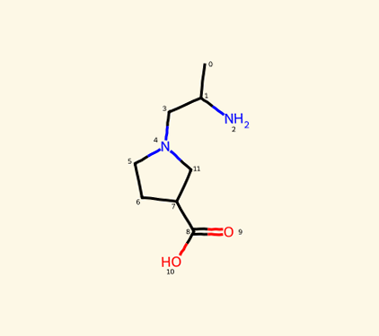 CC(N)CN1CCC(C(=O)O)C1